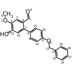 COc1cc(C=O)c(-c2ccc(OCc3ccccc3)cc2)cc1O